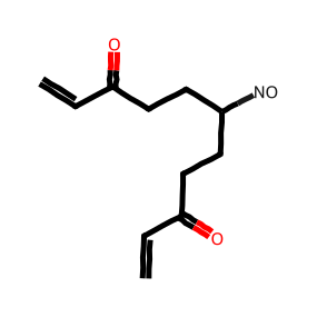 C=CC(=O)CCC(CCC(=O)C=C)N=O